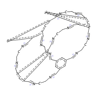 C1=N/CC/N=C/c2cc3cc(c2)/C=N/CC/N=C/c2cc4cc(c2)/C=N/CC/N=C/c2cc(cc(c2)/C=N/CC/N=C/3)/C=N/CC/N=C/c2cc/1cc(c2)/C=N/CC/N=C/4